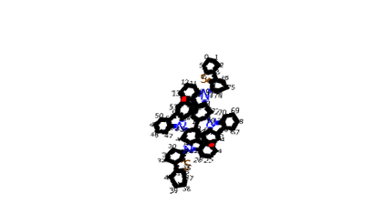 c1ccc2c(c1)sc1c(-n3c4ccccc4c4cc(-c5cc6c7ccccc7n(-c7cccc8c7sc7ccccc78)c6cc5-n5c6ccccc6c6ccccc65)c(-n5c6ccccc6c6ccccc65)cc43)cccc12